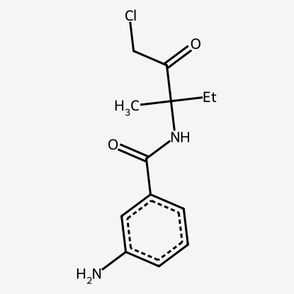 CCC(C)(NC(=O)c1cccc(N)c1)C(=O)CCl